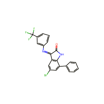 O=C1Nc2c(cc(Br)cc2-c2ccccc2)/C1=N/c1cccc(C(F)(F)F)c1